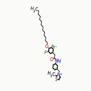 CCCCCCCCCCCCCCOc1ccc(CC(=O)Nc2cccc(C[n+]3ccsc3C)c2)cc1F.[Br-]